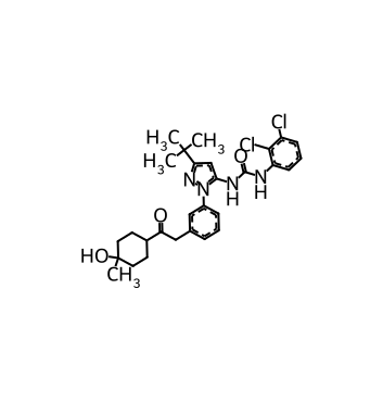 CC1(O)CCC(C(=O)Cc2cccc(-n3nc(C(C)(C)C)cc3NC(=O)Nc3cccc(Cl)c3Cl)c2)CC1